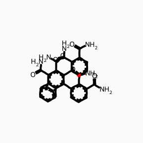 NC(=O)c1cccc(-c2c(C(N)=O)c(C(N)=O)c3c4ccc(cc4)c3c2-c2cccc(C(N)=O)c2C(N)=O)c1C(N)=O